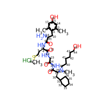 CSCC[C@@H](NC(=O)[C@H](N)Cc1c(C)cc(O)cc1C)C(=O)NCC(=O)NC(=O)[C@H](CC1CCCCC1)N(C)CCCCCCO.Cl